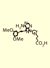 COc1cc(C#Cc2nn(C3CCN(CCCC(=O)O)C3)c3ncnc(N)c23)cc(OC)c1